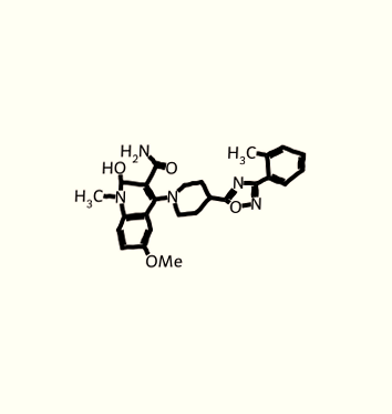 COc1ccc2c(c1)C(N1CCC(c3nc(-c4ccccc4C)no3)CC1)=C(C(N)=O)C(O)N2C